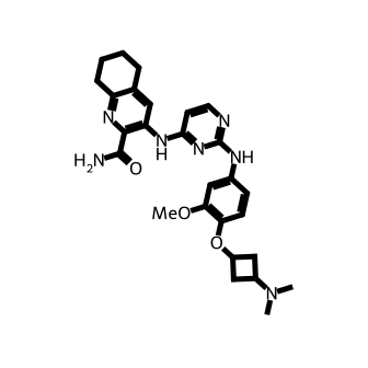 COc1cc(Nc2nccc(Nc3cc4c(nc3C(N)=O)CCCC4)n2)ccc1OC1CC(N(C)C)C1